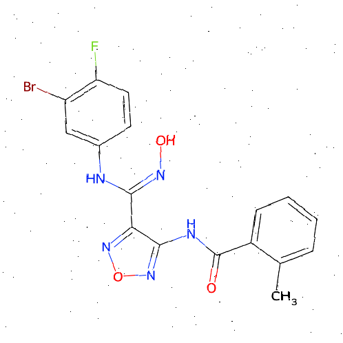 Cc1ccccc1C(=O)Nc1nonc1C(=NO)Nc1ccc(F)c(Br)c1